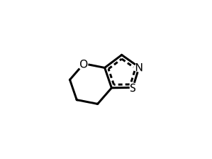 c1nsc2c1OCCC2